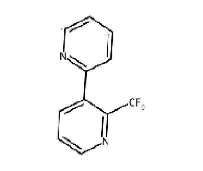 FC(F)(F)c1ncccc1-c1ccc[c]n1